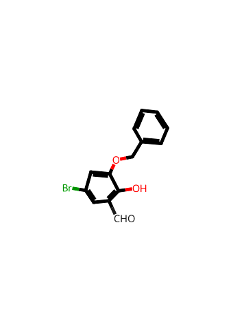 O=Cc1cc(Br)cc(OCc2ccccc2)c1O